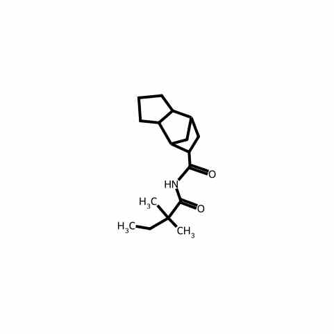 CCC(C)(C)C(=O)NC(=O)C1CC2CC1C1CCCC21